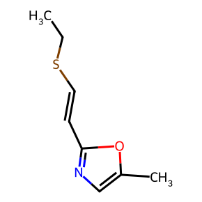 CCSC=Cc1ncc(C)o1